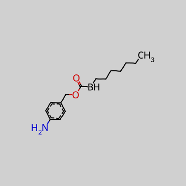 CCCCCCCBC(=O)OCc1ccc(N)cc1